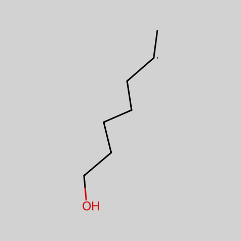 C[CH]CCCCCO